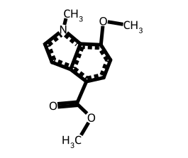 COC(=O)c1ccc(OC)c2c1ccn2C